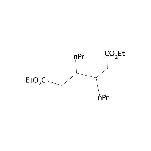 CCCC(CC(=O)OCC)C(CCC)CC(=O)OCC